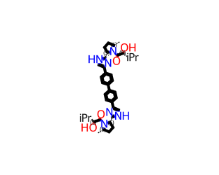 CC(C)[C@H](O)C(=O)N1[C@@H](C)CC[C@H]1c1nc(-c2ccc(-c3ccc(-c4c[nH]c([C@@H]5CC[C@H](C)N5C(=O)[C@H](O)C(C)C)n4)cc3)cc2)c[nH]1